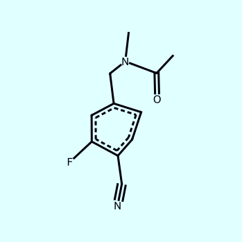 CC(=O)N(C)Cc1ccc(C#N)c(F)c1